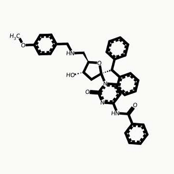 COc1ccc(CNC[C@H]2O[C@@](C(c3ccccc3)c3ccccc3)(n3ccc(NC(=O)c4ccccc4)nc3=O)C[C@@H]2O)cc1